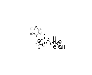 CC1(C)OC(CCNS(=O)(=O)O)C(Cc2ccccc2)O1